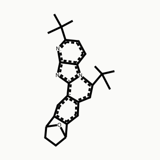 CC(C)(C)c1ccc2c(n1)nc1c3cc4c(cc3cc(C(C)(C)C)n21)C1CCC4O1